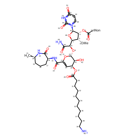 CCCCCCCCCC(=O)O[C@@H]1[C@H](OC)[C@@H]([C@@H](O[C@H]2OC(C(=O)N[C@H]3CCC[C@@H](C)NC3=O)=C[C@H](OC(=O)CCCCCCCCCCN)[C@@H]2O)C(N)=O)O[C@H]1n1ccc(=O)[nH]c1=O